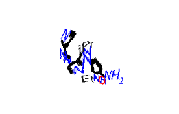 CCNc1cc(-n2nc(C(C)C)c3c(-n4cnc(-c5cccnc5)c4)ccnc32)ccc1C(N)=O